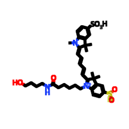 CN1/C(=C/C=C/C=C/C2=[N+](CCCCCC(=O)NCCCCO)c3ccc([SH](=O)=O)cc3C2(C)C)C(C)(C)c2cc(S(=O)(=O)O)ccc21